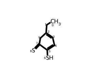 CCC1=CC=C(S)C(=S)C1